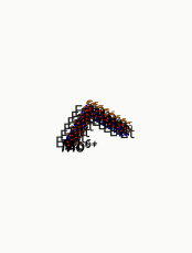 CCN(CC)C(=S)[S-].CCN(CC)C(=S)[S-].CCN(CC)C(=S)[S-].CCN(CC)C(=S)[S-].CCN(CC)C(=S)[S-].CCN(CC)C(=S)[S-].CCN(CC)C(=S)[S-].CCN(CC)C(=S)[S-].CCN(CC)C(=S)[S-].CCN(CC)C(=S)[S-].CCN(CC)C(=S)[S-].CCN(CC)C(=S)[S-].[Mo+6].[Mo+6]